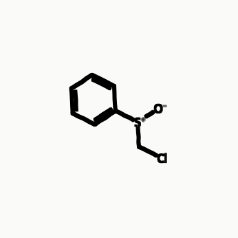 [O-][S+](CCl)c1ccccc1